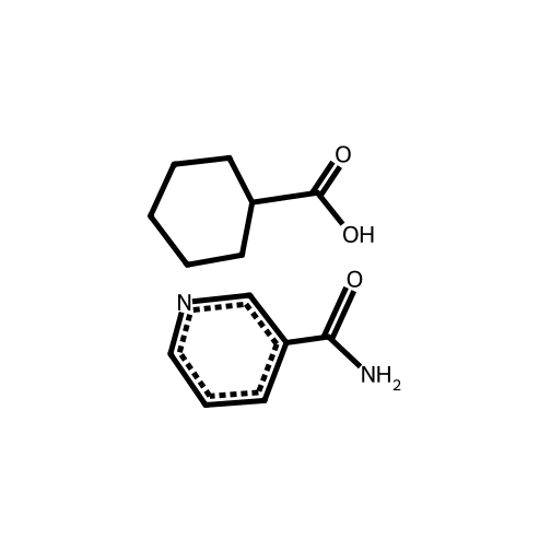 NC(=O)c1cccnc1.O=C(O)C1CCCCC1